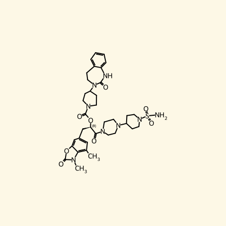 Cc1cc(C[C@@H](OC(=O)N2CCC(N3CCc4ccccc4NC3=O)CC2)C(=O)N2CCN(C3CCN(S(N)(=O)=O)CC3)CC2)cc2oc(=O)n(C)c12